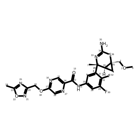 COC[C@]12C[C@H]1[C@](C)(c1cc(NC(=O)c3cnc(OCc4noc(C)n4)cn3)cc(F)c1F)N=C(N)S2